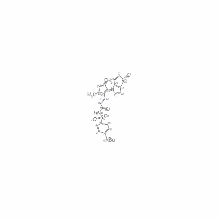 CCCCc1ccc(S(=O)(=O)NC(=O)/C=C/c2c(C)nn(C)c2-n2ccc3cc(Cl)ccc32)cc1